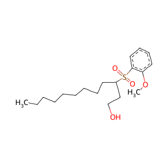 CCCCCCCCCC(CCO)S(=O)(=O)c1ccccc1OC